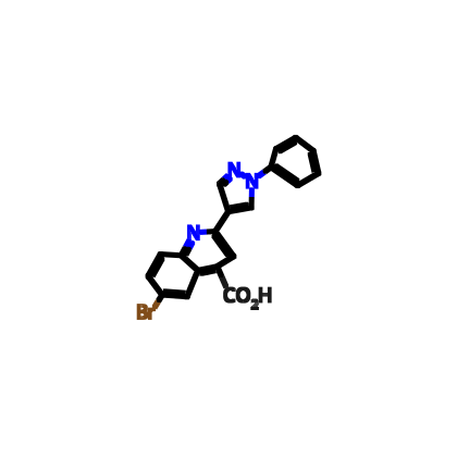 O=C(O)c1cc(-c2cnn(-c3ccccc3)c2)nc2ccc(Br)cc12